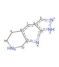 c1n[nH]c2nc3c(cc12)CCNC3